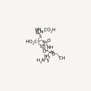 C#CCON=C(C(=O)NC1C(=O)N2CC(CSc3nnnn3CC(=O)O)(C(=O)O)CS[C@H]12)c1csc(N)n1